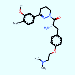 CCOc1cc(C2=NN(C(=O)[C@@H](N)Cc3ccc(OCCN(C)C)cc3)CCC2)ccc1OC